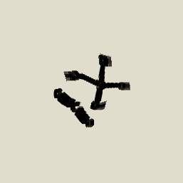 O=C=O.O[Si](O)(O)O